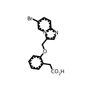 O=C(O)Cc1ccccc1OCc1cnc2ccc(Br)cn12